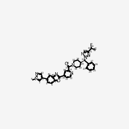 Cn1cc(-c2ccc3oc(-c4ccnc(C(=O)N5CCC([C@H](c6ccccc6)n6nnc(C(F)F)n6)CC5)c4)nc3c2)cn1